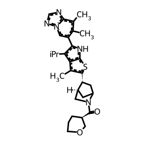 Cc1c(-c2[nH]c3sc([C@@H]4CC5C[C@H]4CN5C(=O)[C@@H]4CCCOC4)c(C)c3c2C(C)C)cn2ncnc2c1C